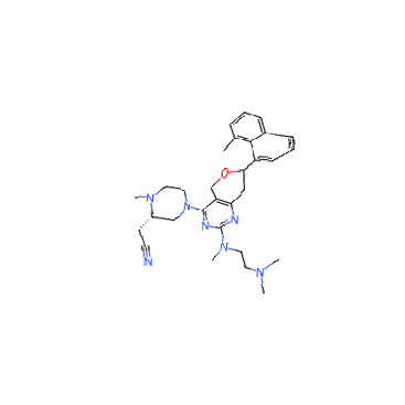 Cc1cccc2cccc(C3Cc4nc(N(C)CCN(C)C)nc(N5CCN(C)[C@@H](CC#N)C5)c4CO3)c12